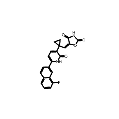 O=C1NC(=O)C(=CC2(c3ccc(-c4ccc5cccc(F)c5c4)[nH]c3=O)CC2)O1